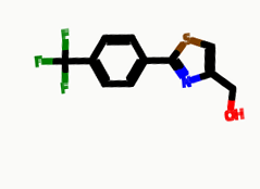 OCc1csc(-c2ccc(C(F)(F)F)cc2)n1